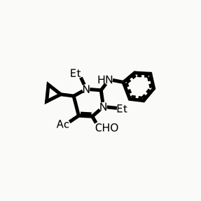 CCN1C(C=O)=C(C(C)=O)C(C2CC2)N(CC)C1Nc1ccccc1